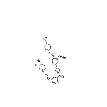 COc1cc(C2CN(C(=O)c3cc(OCCN4CC[C@@H](O)[C@@H](F)C4)ccn3)C2)ccc1OCc1ccc(C2CC2)cc1